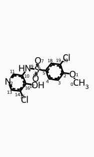 COc1ccc(S(=O)(=O)Nc2cncc(Cl)c2O)cc1Cl